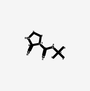 CC(C)(C)OC(=O)N1CCOC1=O